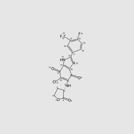 O=C1C(N[C@H]2CCOC2=O)=C(Cl)C(=O)c2[nH]c(-c3ccc(F)c(C(F)(F)F)c3)nc21